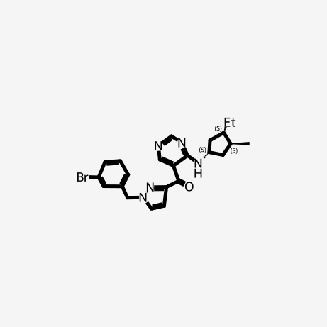 CC[C@H]1C[C@@H](Nc2ncncc2C(=O)c2ccn(Cc3cccc(Br)c3)n2)C[C@@H]1C